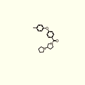 Cc1ccc(Oc2ccc(C(=O)N3CCC(N4CCCC4)C3)cc2)cc1